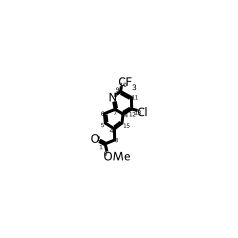 COC(=O)Cc1ccc2nc(C(F)(F)F)cc(Cl)c2c1